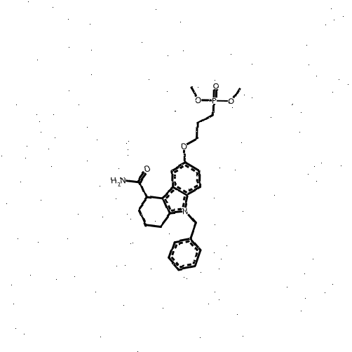 COP(=O)(CCCOc1ccc2c(c1)c1c(n2Cc2ccccc2)CCCC1C(N)=O)OC